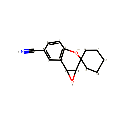 N#Cc1ccc2c(c1)C1OC1C1(CCCCC1)O2